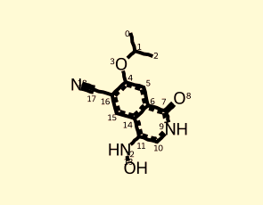 CC(C)Oc1cc2c(=O)[nH]cc(NO)c2cc1C#N